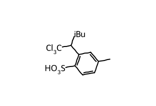 CCC(C)C(c1cc(C)ccc1S(=O)(=O)O)C(Cl)(Cl)Cl